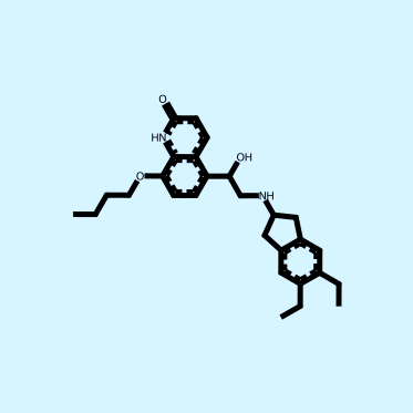 CCCCOc1ccc(C(O)CNC2Cc3cc(CC)c(CC)cc3C2)c2ccc(=O)[nH]c12